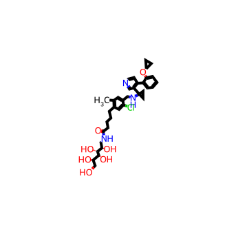 Cc1cc(CNC2(c3cnccc3-c3ccccc3OC3CC3)CC2)c(Cl)cc1CCCCC(=O)NC[C@H](O)[C@@H](O)[C@H](O)[C@H](O)CO